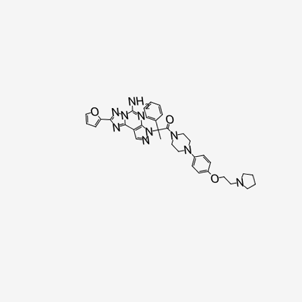 CC(C(=O)N1CCN(c2ccc(OCCN3CCCC3)cc2)CC1)(c1ccccc1)n1ncc2c1nc(N)n1nc(-c3ccco3)nc21